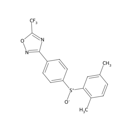 Cc1ccc(C)c([S+]([O-])c2ccc(-c3noc(C(F)(F)F)n3)cc2)c1